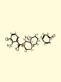 Cc1c(Cl)cccc1C(=O)N1CCN2C[C@@H](c3ccc(Cl)cc3)CC[C@@H]2C1